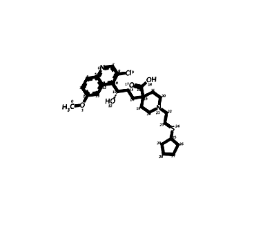 COc1ccc2ncc(Cl)c([C@@H](O)CCC3(C(=O)O)CCN(CCSC4CCCC4)CC3)c2c1